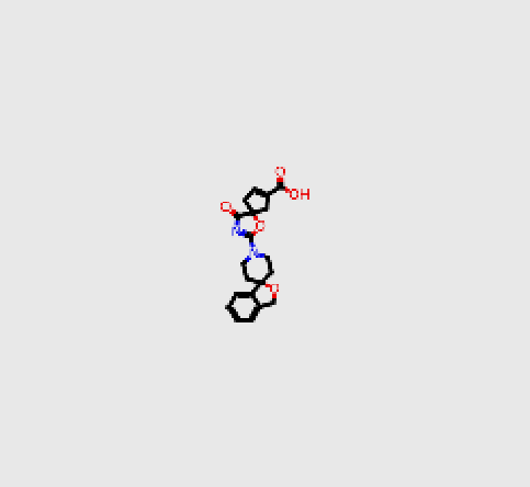 O=C(O)C1=CCC2(C1)OC(N1CCC3(CC1)OCc1ccccc13)=NC2=O